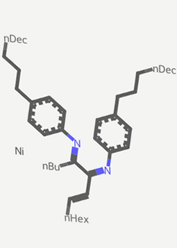 CCCCCCC=CC(=Nc1ccc(CCCCCCCCCCCCC)cc1)C(CCCC)=Nc1ccc(CCCCCCCCCCCCC)cc1.[Ni]